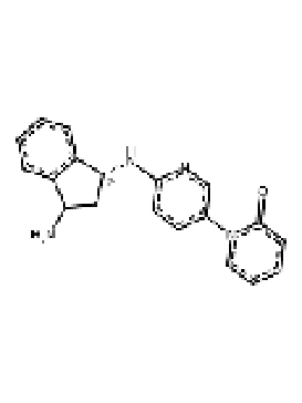 NC1C[C@@H](Nc2ccc(-n3ccccc3=O)cn2)c2ccccc21